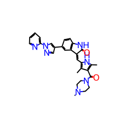 Cc1[nH]c(/C=C2\C(=O)Nc3ccc(-c4cnn(-c5ccccn5)c4)cc32)c(C)c1C(=O)N1CCN(C)CC1